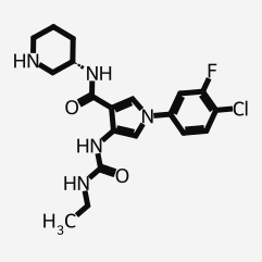 CCNC(=O)Nc1cn(-c2ccc(Cl)c(F)c2)cc1C(=O)N[C@H]1CCCNC1